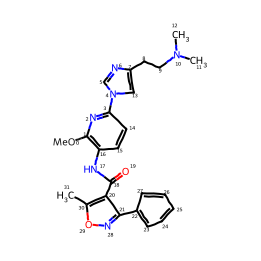 COc1nc(-n2cnc(CCN(C)C)c2)ccc1NC(=O)c1c(-c2ccccc2)noc1C